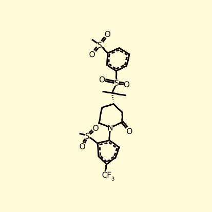 CC(C)([C@H]1CCN(c2ccc(C(F)(F)F)cc2S(C)(=O)=O)C(=O)C1)S(=O)(=O)c1cccc(S(C)(=O)=O)c1